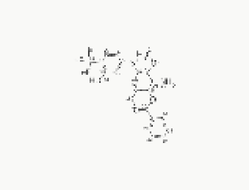 COC1C(Sc2cnc(C(F)(F)F)c(C)c2)OC2COC(c3ccccc3)OC2C1N